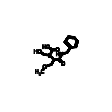 COCC(C(=O)NCc1ccccc1)N(CO)C(=O)O